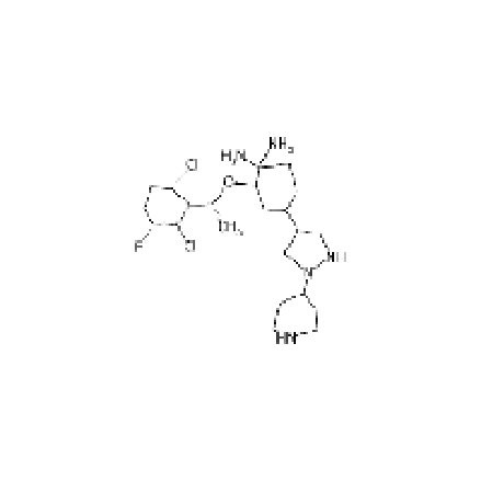 C[C@@H](O[C@@H]1CC(C2CNN(C3CCNCC3)C2)CCC1(N)N)C1C(Cl)[C@H](F)CC[C@@H]1Cl